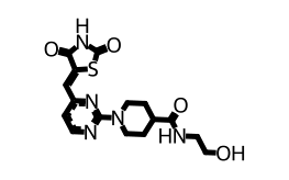 O=C1NC(=O)C(=Cc2ccnc(N3CCC(C(=O)NCCO)CC3)n2)S1